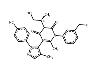 CC1=C(c2c(C)cnn2-c2ccc(C#N)cc2)C(=O)C([C@H](C)CO)C(=O)N1c1cccc(CF)c1